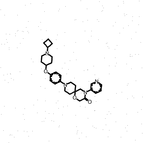 O=C1COC2(CCN(c3ccc(OC4CCN(C5CCC5)CC4)cc3)CC2)CN1c1cccnc1